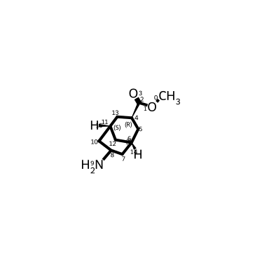 COC(=O)[C@H]1C[C@@H]2CC(N)C[C@@H](C2)C1